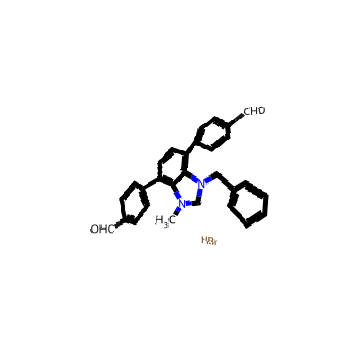 Br.CN1CN(Cc2ccccc2)c2c(-c3ccc(C=O)cc3)ccc(-c3ccc(C=O)cc3)c21